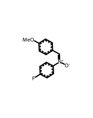 COc1ccc(/C=[N+](/[O-])c2ccc(F)cc2)cc1